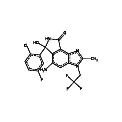 Cc1nc2c3c(c(N)cc2n1CC(F)(F)F)C(O)(c1cc(F)ccc1Cl)NC3=O